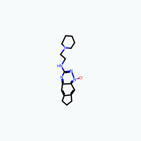 [O-][n+]1nc(NCCN2CCCCC2)nc2cc3c(cc21)CCC3